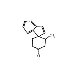 CC1CN(Cl)CCC12C=Cc1ccccc12